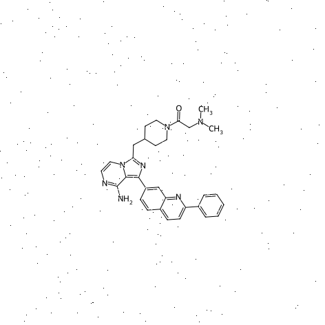 CN(C)CC(=O)N1CCC(Cc2nc(-c3ccc4ccc(-c5ccccc5)nc4c3)c3c(N)nccn23)CC1